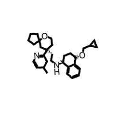 CC1C=CN=C([C@]2(CCN[C@H]3CC[C@H](OCC4CC4)c4ccccc43)CCOC3(CCCC3)C2)C1